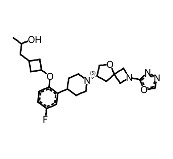 CC(O)CC1CC(Oc2ccc(F)cc2C2CCN([C@@H]3COC4(C3)CN(c3nnco3)C4)CC2)C1